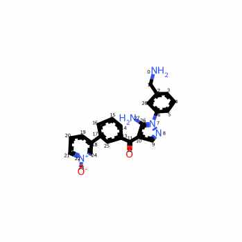 NCc1cccc(-n2ncc(C(=O)c3cccc(-c4ccc[n+]([O-])c4)c3)c2N)c1